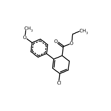 CCOC(=O)C1CC=C(Cl)C=C1c1ccc(OC)cc1